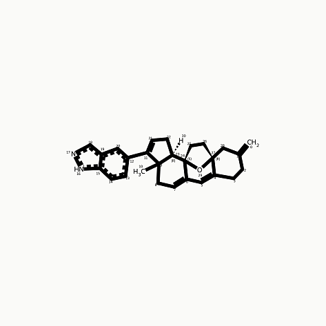 C=C1CCC2=CC3=CCC4(C)C(c5ccc6[nH]ncc6c5)=CC[C@H]4[C@@]34CC[C@]2(C1)O4